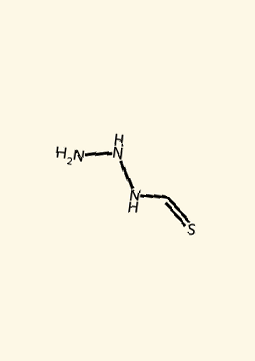 NNNC=S